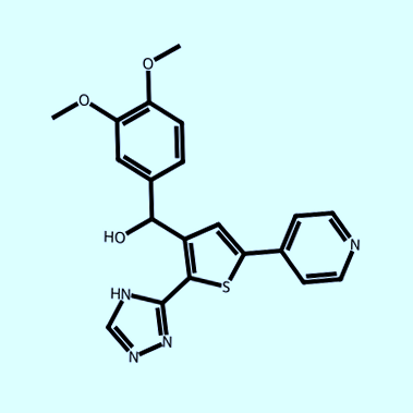 COc1ccc(C(O)c2cc(-c3ccncc3)sc2-c2nnc[nH]2)cc1OC